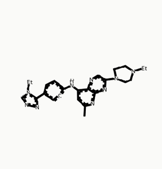 CCN1CCN(c2cnc3c(Nc4ccc(-c5nncn5CC)cc4)cc(C)nc3n2)CC1